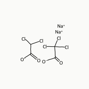 O=C([O-])C(Cl)(Cl)Cl.O=C([O-])C(Cl)Cl.[Na+].[Na+]